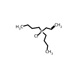 C=CC[P](Cl)(CCCC)CCCC